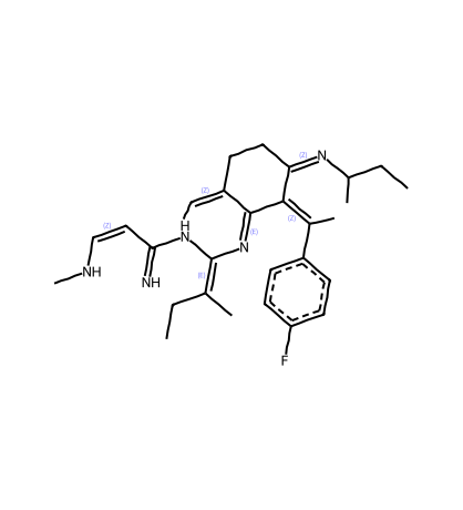 C/C=C1CCC(=N/C(C)CC)/C(=C(\C)c2ccc(F)cc2)C/1=N/C(NC(=N)/C=C\NC)=C(\C)CC